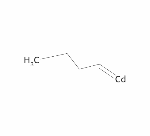 CCC[CH]=[Cd]